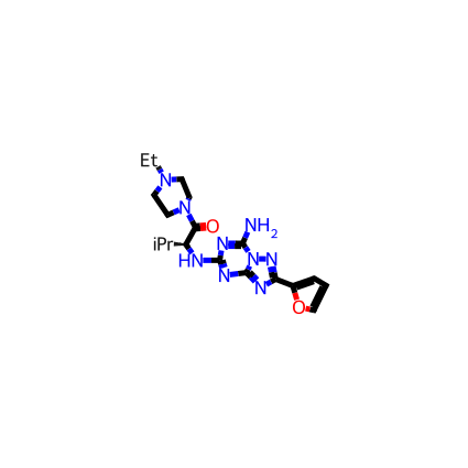 CCN1CCN(C(=O)[C@@H](Nc2nc(N)n3nc(-c4ccco4)nc3n2)C(C)C)CC1